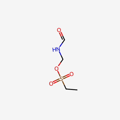 CCS(=O)(=O)OCNC=O